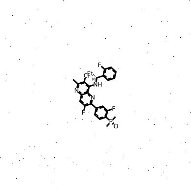 CC[C@@H](Nc1c(Cl)c(C)nc2cc(F)c(-c3ccc(P(C)(C)=O)c(F)c3)nc12)c1ccccc1F